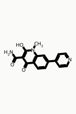 Cn1c(O)c(C(N)=O)c(=O)c2ccc(-c3ccncc3)cc21